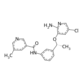 Cc1cncc(C(=O)Nc2cccc([C@@H](C)Oc3cc(Cl)cnc3N)c2)c1